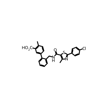 Cc1ccc(-c2ccccc2CNC(=O)c2sc(-c3ccc(Cl)cc3)nc2C)cc1C(=O)O